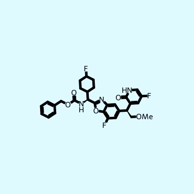 COC[C@@H](c1cc(F)c2oc([C@@H](NC(=O)OCc3ccccc3)C3CCC(F)CC3)nc2c1)c1cc(F)c[nH]c1=O